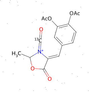 CC(=O)Oc1ccc(C=C2C(=O)OC(C)[N+]2=[13C]=O)cc1OC(C)=O